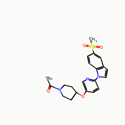 CC(C)(C)C(=O)N1CCC(Oc2ccc(-n3ccc4cc(S(C)(=O)=O)ccc43)nc2)CC1